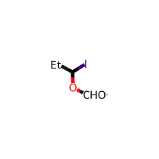 CCC(I)O[C]=O